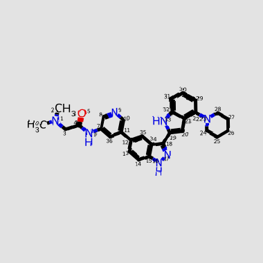 CN(C)CC(=O)Nc1cncc(-c2ccc3[nH]nc(-c4cc5c(N6CCCCC6)cccc5[nH]4)c3c2)c1